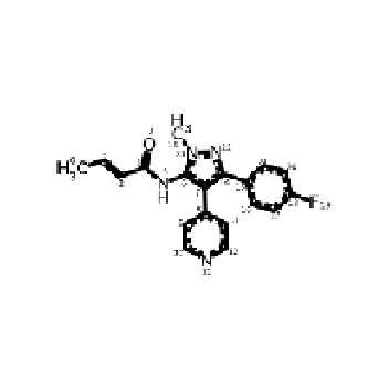 CC=CC(=O)Nc1c(-c2ccncc2)c(-c2ccc(F)cc2)nn1C